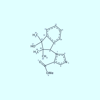 COC(=O)c1cncn1C1c2ccccc2C(C)(O)C1(C)C